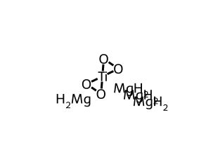 [MgH2].[MgH2].[MgH2].[MgH2].[O]1[O][Ti]12[O][O]2